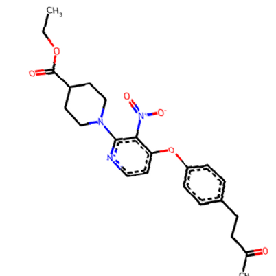 CCOC(=O)C1CCN(c2nccc(Oc3ccc(CCC(C)=O)cc3)c2[N+](=O)[O-])CC1